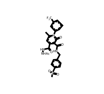 CC(=O)NNC(=O)c1cc(C)n(-c2cccc(C(F)(F)F)c2)c(=O)c1C(=O)NCc1ccc(S(C)(=O)=O)cc1